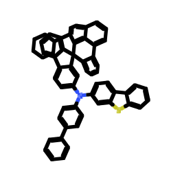 c1ccc(-c2ccc(N(c3ccc4c(c3)C3(c5ccccc5-4)c4ccccc4-c4cccc5ccc(C6CCCCC6)c3c45)c3ccc4c(c3)sc3ccccc34)cc2)cc1